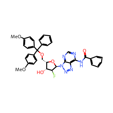 COc1ccc(C(OC[C@@H]2O[C@@H](n3nnc4c(NC(=O)c5ccccc5)ncnc43)[C@@H](F)[C@@H]2O)(c2ccccc2)c2ccc(OC)cc2)cc1